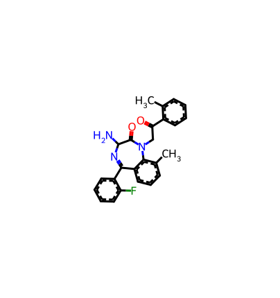 Cc1ccccc1C(=O)CN1C(=O)C(N)N=C(c2ccccc2F)c2cccc(C)c21